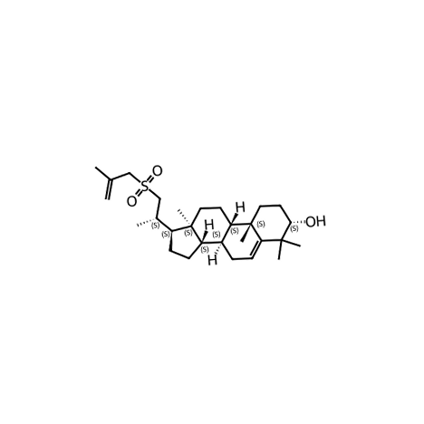 C=C(C)CS(=O)(=O)C[C@@H](C)[C@@H]1CC[C@H]2[C@@H]3CC=C4C(C)(C)[C@@H](O)CC[C@@]4(C)[C@H]3CC[C@@]21C